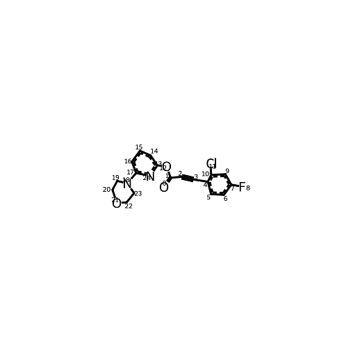 O=C(C#Cc1ccc(F)cc1Cl)Oc1cccc(N2CCOCC2)n1